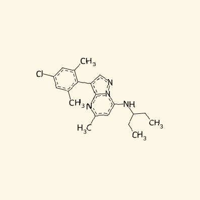 CCC(CC)Nc1cc(C)nc2c(-c3c(C)cc(Cl)cc3C)cnn12